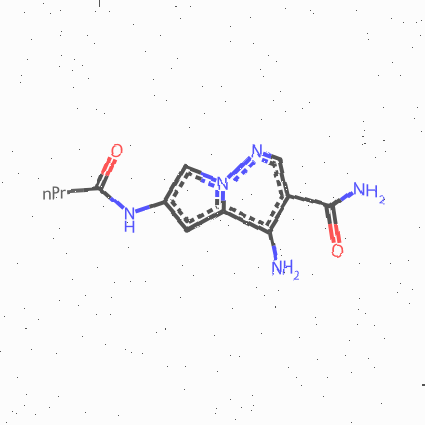 CCCC(=O)Nc1cc2c(N)c(C(N)=O)cnn2c1